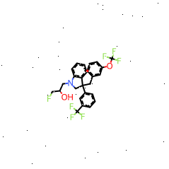 O[C@@H](CF)CN1CC(Cc2cccc(OC(F)(F)F)c2)(c2cccc(C(F)(F)F)c2)c2ccccc21